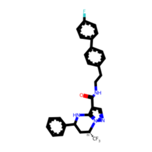 O=C(NCCc1ccc(-c2ccc(F)cc2)cc1)c1cnn2c1NC(c1ccccc1)C[C@H]2C(F)(F)F